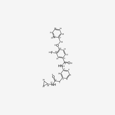 O=C(Cc1cccc(NC(=O)c2ccc(OCc3ccccn3)c(F)c2)c1)NC1CC1